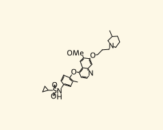 COc1cc2c(Oc3ccc(NS(=O)(=O)C4CC4)cc3C)ccnc2cc1OCCCN1CCCC(C)C1